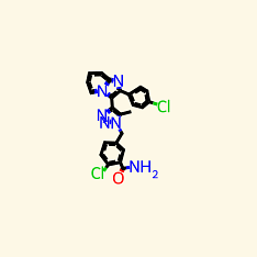 Cc1c(-c2c(-c3ccc(Cl)cc3)nc3ccccn23)nnn1Cc1ccc(Cl)c(C(N)=O)c1